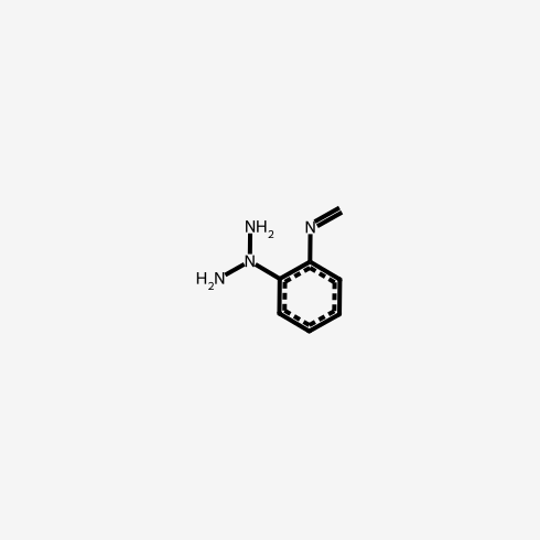 C=Nc1ccccc1N(N)N